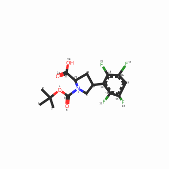 CC(C)(C)OC(=O)N1CC(c2c(F)c(F)cc(F)c2F)CC1C(=O)O